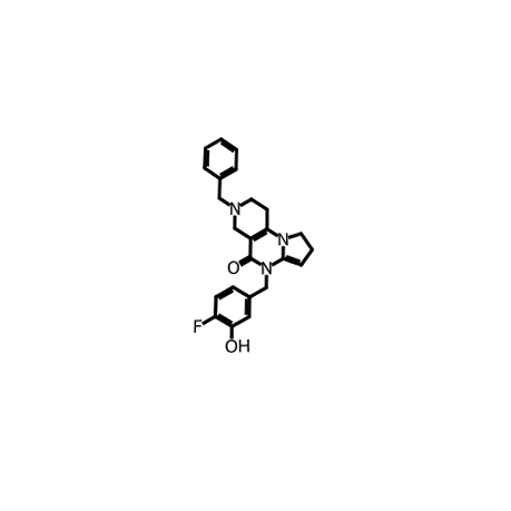 O=C1C2=C(CCN(Cc3ccccc3)C2)N2CCC=C2N1Cc1ccc(F)c(O)c1